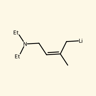 [Li][CH2]C(C)=CCN(CC)CC